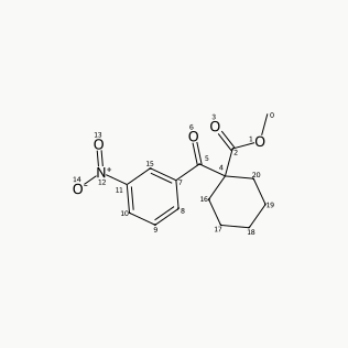 COC(=O)C1(C(=O)c2cccc([N+](=O)[O-])c2)CCCCC1